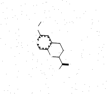 COc1cc2c(cn1)NC(C(=O)O)CC2